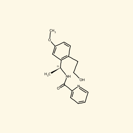 COc1ccc(CCO)c([C@H](C)NC(=O)c2ccccn2)c1